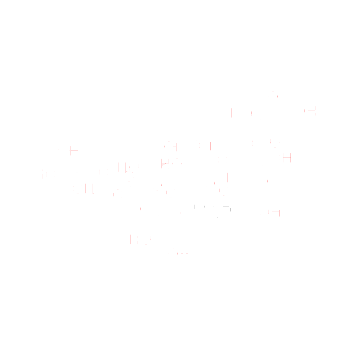 CC(OC(C)C(O)C(O)O)OC(O)C(OC(CO)C(C)O)OC1C(OC2C(C(=O)O)OC(OC3C(O)C(CO)OC(O)C3OC3OC(C)C(O)C(O)C3O)C(O)C2O)OC(C)C(O)C1O